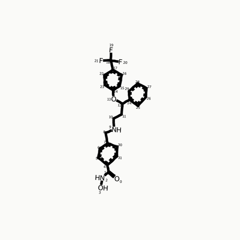 O=C(NO)c1ccc(CNCCC(Oc2ccc(C(F)(F)F)cc2)c2ccccc2)cc1